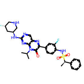 CC(C)n1c(=O)c(-c2ccc(NS(=O)(=O)[C@H](C)c3ccccc3)c(F)c2)nc2cnc(N[C@@H]3CNC[C@@H](F)C3)nc21